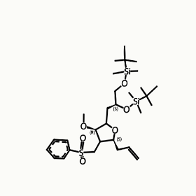 C=CC[C@@H]1OC(C[C@@H](CO[Si](C)(C)C(C)(C)C)O[Si](C)(C)C(C)(C)C)[C@H](OC)C1CS(=O)(=O)c1ccccc1